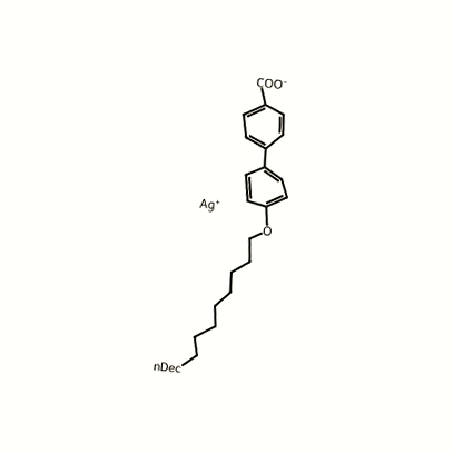 CCCCCCCCCCCCCCCCCCOc1ccc(-c2ccc(C(=O)[O-])cc2)cc1.[Ag+]